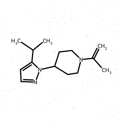 C=C(C)N1CCC(n2nccc2C(C)C)CC1